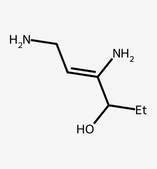 CCC(O)C(N)=CCN